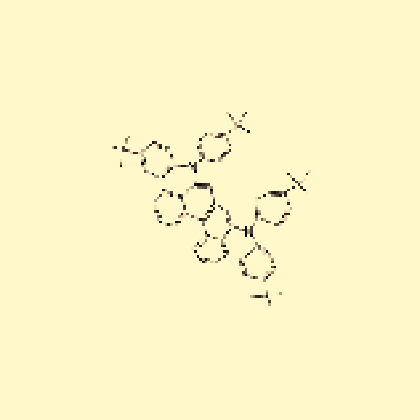 CC(C)(C)c1ccc(N(c2ccc(C(C)(C)C)cc2)c2cc3cc(N(c4ccc(C(C)(C)C)cc4)c4ccc(C(C)(C)C)cc4)c4ccccc4c3c3ccccc23)cc1